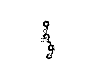 O=c1cc(OCc2ccccc2)ccn1CCc1ccc(CN2CCCC2)nc1